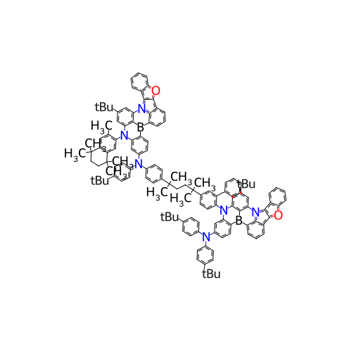 Cc1cc2c(cc1N1c3cc(N(c4ccc(C(C)(C)C)cc4)c4ccc(C(C)(C)CCC(C)(C)c5ccc(N6c7cc(N(c8ccc(C(C)(C)C)cc8)c8ccc(C(C)(C)C)cc8)ccc7B7c8c6cc(C(C)(C)C)cc8-n6c8c7cccc8c7oc8ccccc8c76)c(-c6ccccc6)c5)cc4)ccc3B3c4c1cc(C(C)(C)C)cc4-n1c4c3cccc4c3oc4ccccc4c31)C(C)(C)CCC2(C)C